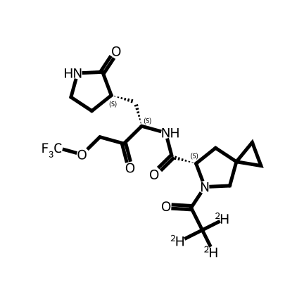 [2H]C([2H])([2H])C(=O)N1CC2(CC2)C[C@H]1C(=O)N[C@@H](C[C@@H]1CCNC1=O)C(=O)COC(F)(F)F